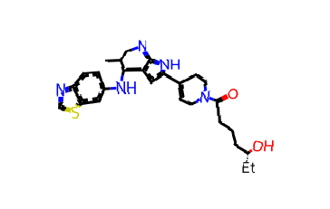 CC[C@@H](O)CCCC(=O)N1CC=C(c2cc3c([nH]2)=NCC(C)C=3Nc2ccc3ncsc3c2)CC1